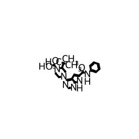 CC(C)(C)C1CN(c2ncnc3[nH]c(C(=O)Nc4ccccc4)cc23)CCN1C(=O)O